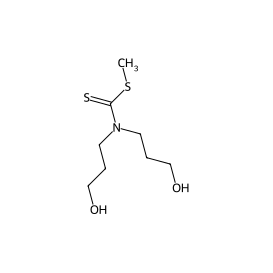 CSC(=S)N(CCCO)CCCO